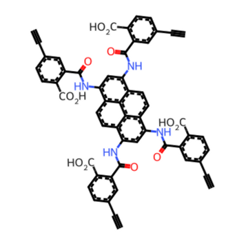 C#Cc1ccc(C(=O)O)c(C(=O)Nc2cc(NC(=O)c3cc(C#C)ccc3C(=O)O)c3ccc4c(NC(=O)c5cc(C#C)ccc5C(=O)O)cc(NC(=O)c5cc(C#C)ccc5C(=O)O)c5ccc2c3c54)c1